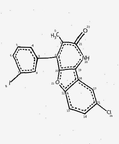 Cc1c(-c2cccc(I)c2)c2oc3ccc(Cl)cc3c2[nH]c1=O